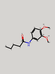 [CH2]CCCC(=O)Nc1ccc(OC)c(OC)c1